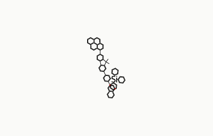 CC1(C)c2cc(-c3ccc(-c4ccc5ccccc5c4)c([Si](c4ccccc4)(c4ccccc4)c4ccccc4)c3)ccc2-c2ccc(-c3ccc4ccc5cccc6ccc3c4c56)cc21